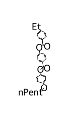 CCCCCOc1ccc(OC(=O)c2ccc(OC(=O)c3ccc(CC)cc3)cc2)cc1